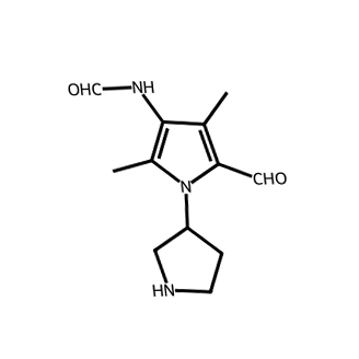 Cc1c(NC=O)c(C)n(C2CCNC2)c1C=O